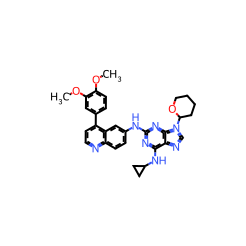 COc1ccc(-c2ccnc3ccc(Nc4nc(NC5CC5)c5ncn(C6CCCCO6)c5n4)cc23)cc1OC